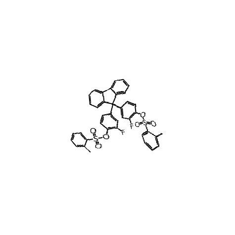 Cc1ccccc1S(=O)(=O)Oc1ccc(C2(c3ccc(OS(=O)(=O)c4ccccc4C)c(F)c3)c3ccccc3-c3ccccc32)cc1F